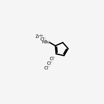 CCCCC1=CC=CC1.[Cl-].[Cl-].[Cl-].[Cl-].[Zr+4]